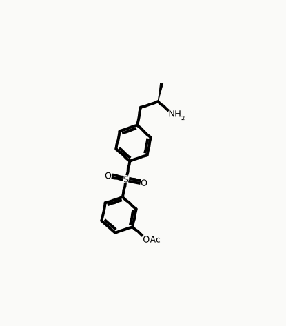 CC(=O)Oc1cccc(S(=O)(=O)c2ccc(C[C@@H](C)N)cc2)c1